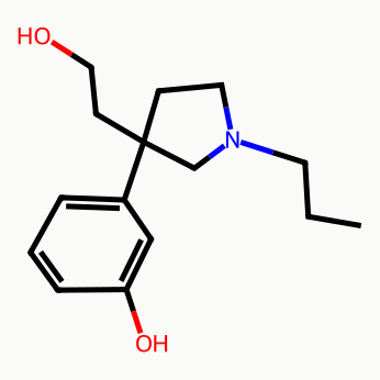 CCCN1CCC(CCO)(c2cccc(O)c2)C1